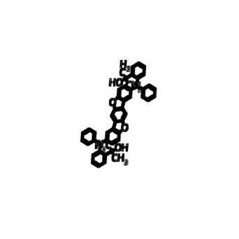 CC(C)(O)c1ccccc1N(c1ccccc1)c1ccc2oc3cc4c(cc3c2c1)oc1ccc(N(c2ccccc2)c2ccccc2C(C)(C)O)cc14